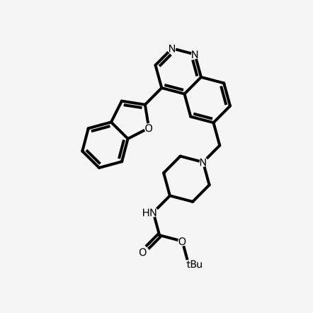 CC(C)(C)OC(=O)NC1CCN(Cc2ccc3nncc(-c4cc5ccccc5o4)c3c2)CC1